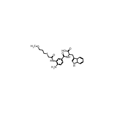 COCCCSCC(=O)Nc1cc(C(=O)NC(CC2=CNC3C=CC=CC23)C(=O)O)ccc1N